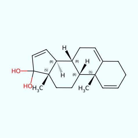 C[C@]12C=CCCC1=CC[C@@H]1[C@H]2CC[C@@]2(C)[C@H]1C=CC2(O)O